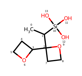 CC(C1([C]2CCO2)CCO1)[Si](O)(O)O